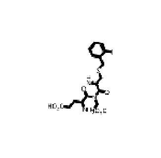 NC(CCC(=O)O)C(=O)N(CC(=O)O)C(=O)C(N)CSCc1ccccc1I